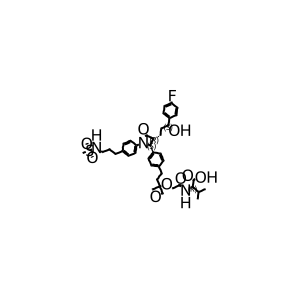 CC(C)[C@@H](NC(=O)COC1(CCc2ccc([C@@H]3[C@@H](CC[C@H](O)c4ccc(F)cc4)C(=O)N3c3ccc(CCCNS(C)(=O)=O)cc3)cc2)COC1)C(=O)O